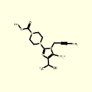 CC#CCn1c(N2CCN(C(=O)OC(C)(C)C)CC2)nc(C(O)C(F)(F)F)c1C(=O)OCC